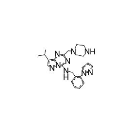 CC(C)c1cnn2c(NCc3ccccc3-n3cccn3)nc(CN3CCNCC3)nc12